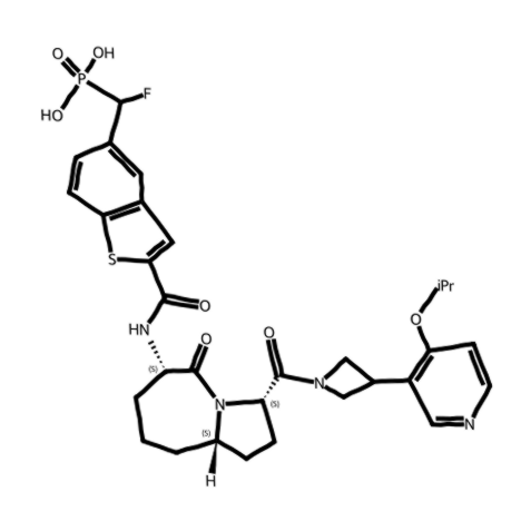 CC(C)Oc1ccncc1C1CN(C(=O)[C@@H]2CC[C@@H]3CCC[C@H](NC(=O)c4cc5cc(C(F)P(=O)(O)O)ccc5s4)C(=O)N32)C1